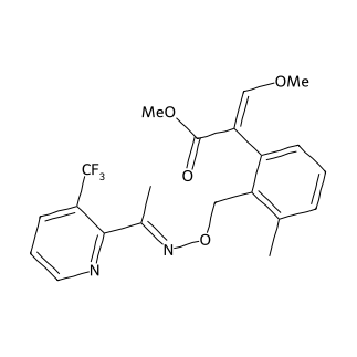 CO/C=C(/C(=O)OC)c1cccc(C)c1CO/N=C(\C)c1ncccc1C(F)(F)F